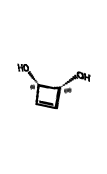 O[C@@H]1C=C[C@@H]1O